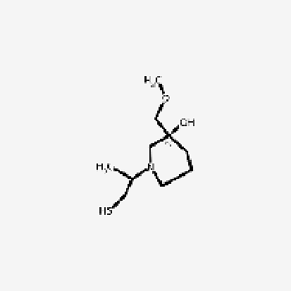 COC[C@]1(O)CCCN(C(C)CS)C1